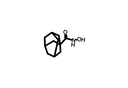 O=C(NO)C12CC3CC(CC(C3)C1)C2